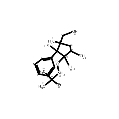 CCCC1(c2ccccc2)C(C)(CO)CC(C)C1(C)O[SiH2]C(C)(C)C(C)C